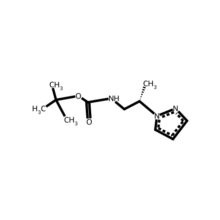 C[C@@H](CNC(=O)OC(C)(C)C)n1cccn1